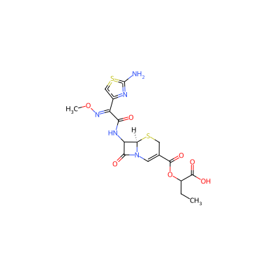 CCC(OC(=O)C1=CN2C(=O)C(NC(=O)C(=NOC)c3csc(N)n3)[C@H]2SC1)C(=O)O